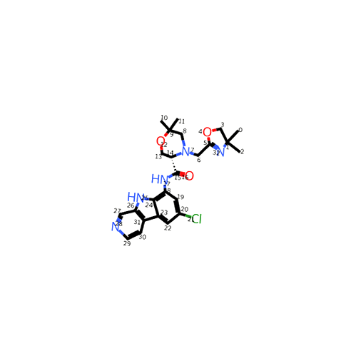 CC1(C)COC(CN2CC(C)(C)OC[C@H]2C(=O)Nc2cc(Cl)cc3c2[nH]c2cnccc23)=N1